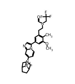 COc1cc(-c2cnc3cc(N4CC5CCC(C4)N5C)ccn23)cc(CCN(C=O)CC(F)(F)F)c1C